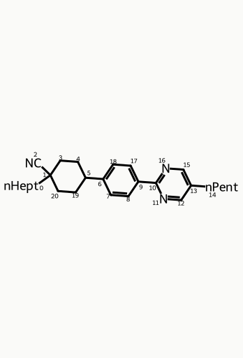 CCCCCCCC1(C#N)CCC(c2ccc(-c3ncc(CCCCC)cn3)cc2)CC1